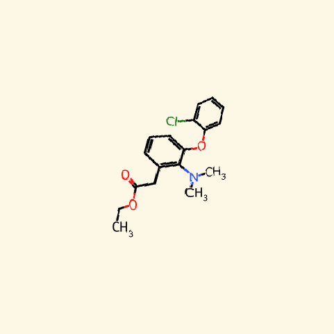 CCOC(=O)Cc1cccc(Oc2ccccc2Cl)c1N(C)C